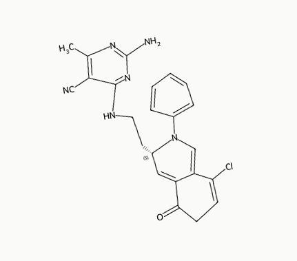 Cc1nc(N)nc(NCC[C@H]2C=C3C(=O)CC=C(Cl)C3=CN2c2ccccc2)c1C#N